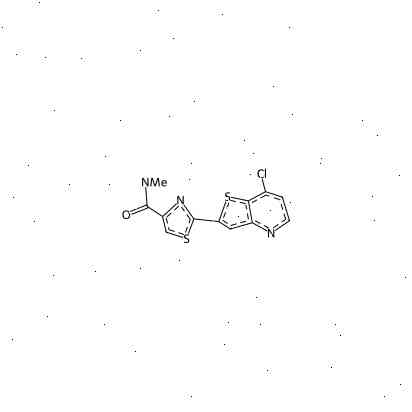 CNC(=O)c1csc(-c2cc3nccc(Cl)c3s2)n1